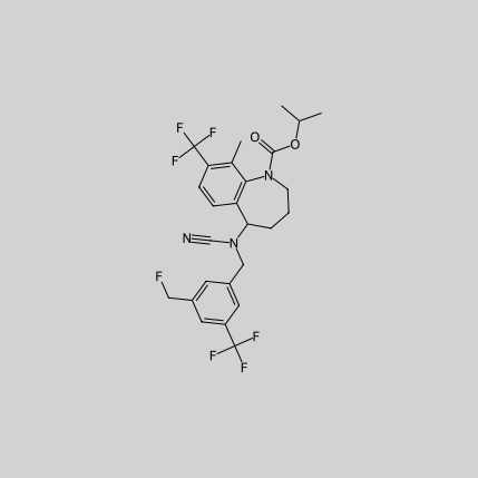 Cc1c(C(F)(F)F)ccc2c1N(C(=O)OC(C)C)CCCC2N(C#N)Cc1cc(CF)cc(C(F)(F)F)c1